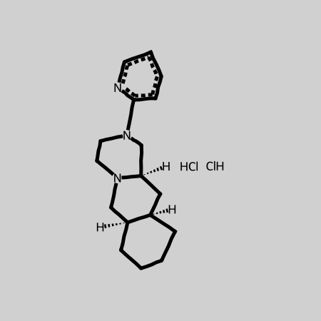 Cl.Cl.c1ccc(N2CCN3C[C@@H]4CCCC[C@@H]4C[C@@H]3C2)nc1